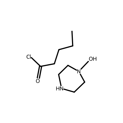 CCCCC(=O)Cl.ON1CCNCC1